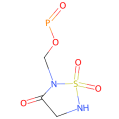 O=POCN1C(=O)CNS1(=O)=O